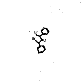 O=C(C(CBr)c1ccccc1)C(CBr)c1ccccc1